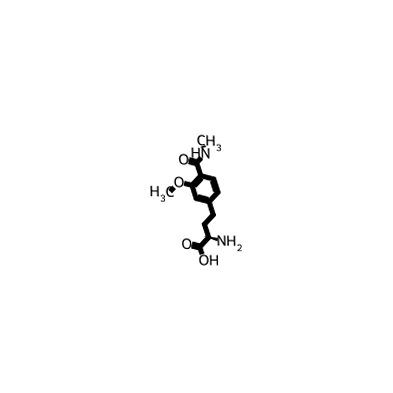 CNC(=O)c1ccc(CC[C@@H](N)C(=O)O)cc1OC